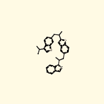 CC(C)c1coc2cc(CC(C)c3cc4cc(CC(C)c5occ6ccccc56)ccc4o3)ccc12